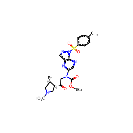 CC[C@H]1CN(C(=O)O)C[C@H]1C(=O)CN(C(=O)OC(C)(C)C)c1cnc2c(cnn2S(=O)(=O)c2ccc(C)cc2)n1